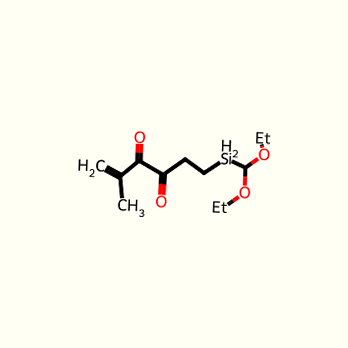 C=C(C)C(=O)C(=O)CC[SiH2]C(OCC)OCC